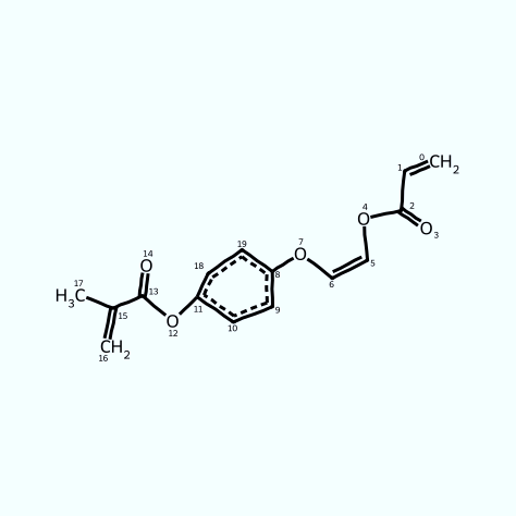 C=CC(=O)O/C=C\Oc1ccc(OC(=O)C(=C)C)cc1